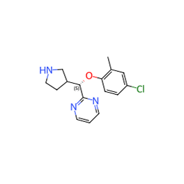 Cc1cc(Cl)ccc1O[C@H](c1ncccn1)C1CCNC1